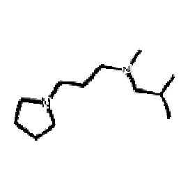 CC(C)CN(C)CCCN1CCCC1